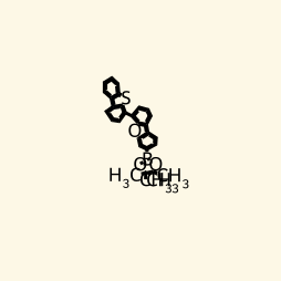 CC1(C)OB(c2ccc3c(c2)oc2c(-c4cccc5c4sc4ccccc45)cccc23)OC1(C)C